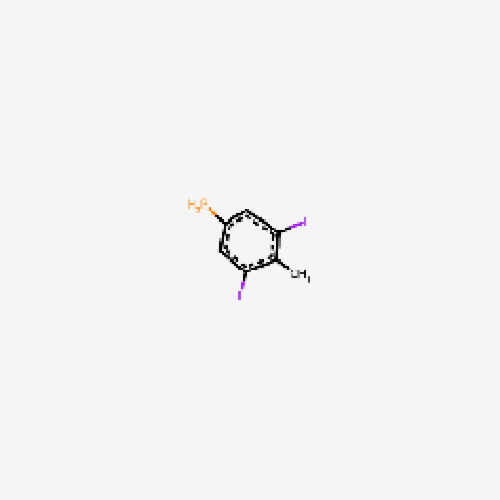 Cc1c(I)cc(P)cc1I